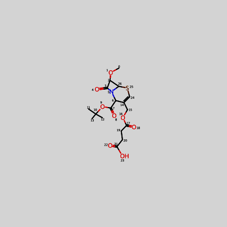 CO[C@@H]1C(=O)N2C(C(=O)OC(C)(C)C)C(COC(=O)CCC(=O)O)=CSC12